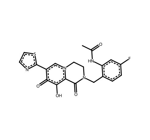 CC(=O)Nc1cc(F)ccc1CN1CCn2cc(-c3nccs3)c(=O)c(O)c2C1=O